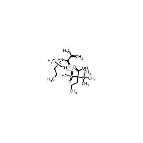 C=C(C)C(=O)N[N+](C)(C)CCC.CCCC(C(=O)O)([N+](C)(C)C)S(=O)(=O)O